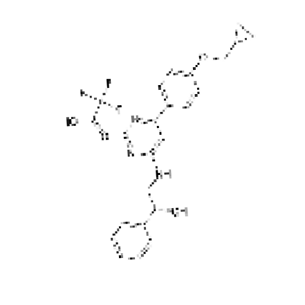 O=C(O)C(F)(F)F.O[C@@H](CNc1cc(-c2ccc(OCC3CC3)cc2)ncn1)c1ccccc1